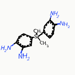 C[Si](C)(c1ccc(N)c(N)c1)c1ccc(N)c(N)c1